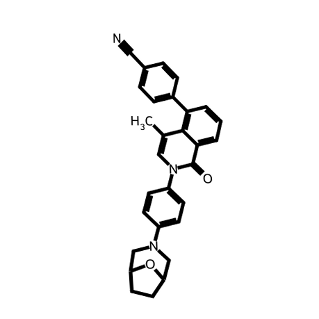 Cc1cn(-c2ccc(N3CC4CCC(C3)O4)cc2)c(=O)c2cccc(-c3ccc(C#N)cc3)c12